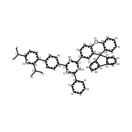 CC(C)c1ccc(-c2ccc(-c3nc(-c4ccccc4)nc(-c4ccc5c(c4)C4(c6ccccc6O5)c5ccccc5-c5ccccc54)n3)cc2)c(C(C)C)n1